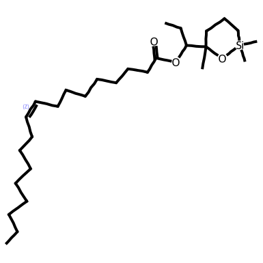 CCCCCCCC/C=C\CCCCCCCC(=O)OC(CC)C1(C)CCC[Si](C)(C)O1